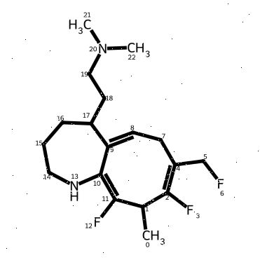 CC1/C(F)=C(/CF)C/C=C2\C(=C/1F)NCCCC2CCN(C)C